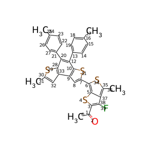 CC(=O)c1sc2c(-c3cc4c(s3)c(-c3ccc(C)cc3)c(-c3ccc(C)cc3)c3sc(C)cc34)sc(C)c2c1F